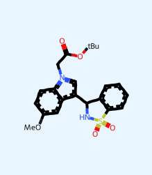 COc1ccc2c(c1)c(C1NS(=O)(=O)c3ccccc31)cn2CC(=O)OC(C)(C)C